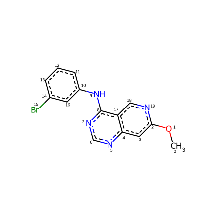 COc1cc2ncnc(Nc3cccc(Br)c3)c2cn1